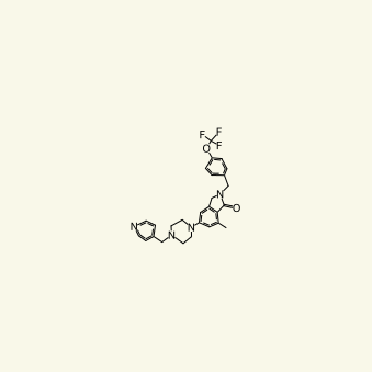 Cc1cc(N2CCN(Cc3ccncc3)CC2)cc2c1C(=O)N(Cc1ccc(OC(F)(F)F)cc1)C2